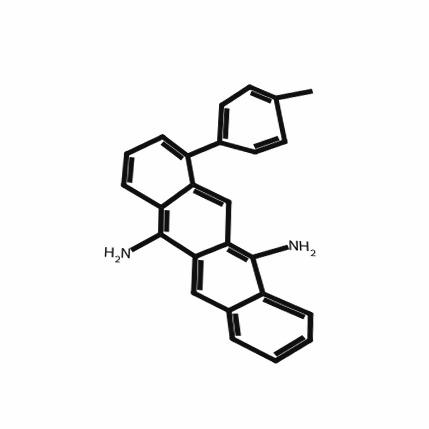 Cc1ccc(-c2cccc3c(N)c4cc5ccccc5c(N)c4cc23)cc1